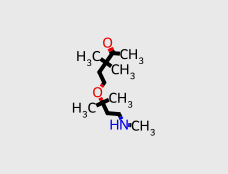 CNCCC(C)(C)OCCC(C)(C)C(C)=O